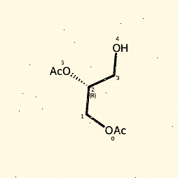 CC(=O)OC[C@@H](CO)OC(C)=O